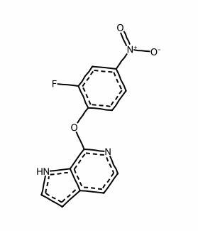 O=[N+]([O-])c1ccc(Oc2nccc3cc[nH]c23)c(F)c1